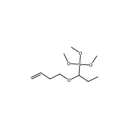 C=CCCOC(CC)[Si](OC)(OC)OC